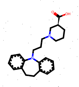 O=C(O)[C@H]1CCCN(CCCN2c3ccccc3CCc3ccccc32)C1